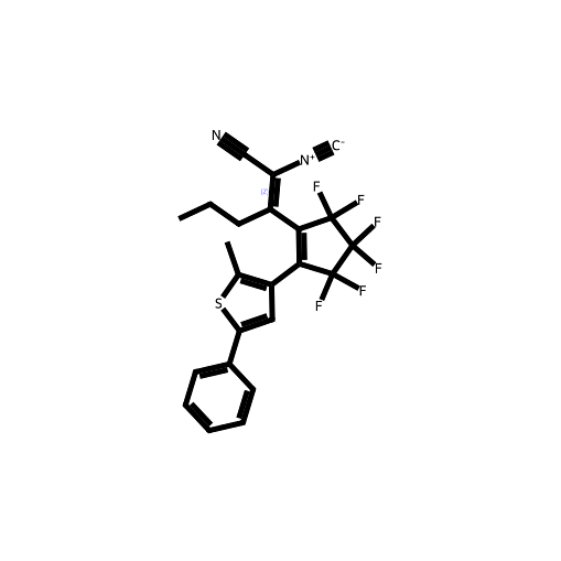 [C-]#[N+]/C(C#N)=C(/CCC)C1=C(c2cc(-c3ccccc3)sc2C)C(F)(F)C(F)(F)C1(F)F